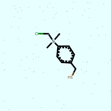 C[Si](C)(CCl)c1ccc(CS)cc1